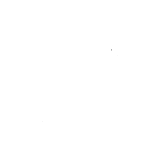 Cc1oc(-c2ccc(C(F)(F)F)cc2)nc1COc1ccc(CCN2CSC[C@H]2C(=O)O)cc1